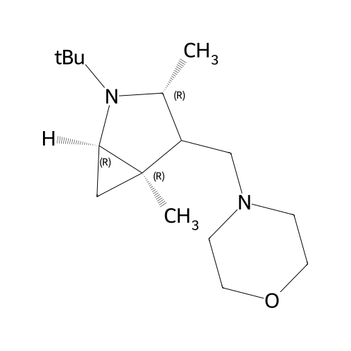 C[C@@H]1C(CN2CCOCC2)[C@@]2(C)C[C@H]2N1C(C)(C)C